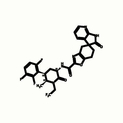 C[C@@H]1[C@H](c2c(F)ccc(F)c2F)C[C@H](NC(=O)c2nc3c(o2)CCC2(C3)C(=O)Nc3ncccc32)C(=O)N1CC(F)(F)F